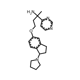 CC(N)(CCOc1ccc2c(c1)CCC2N1CCCC1)c1ccncn1